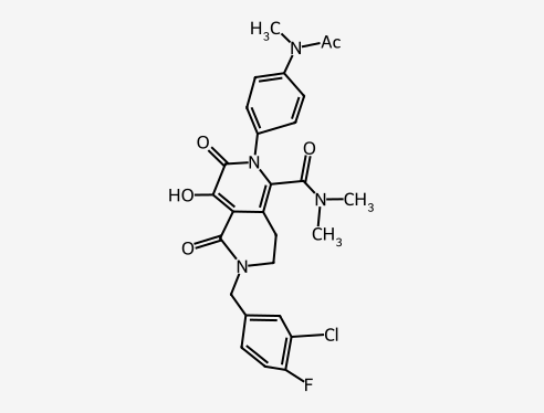 CC(=O)N(C)c1ccc(-n2c(C(=O)N(C)C)c3c(c(O)c2=O)C(=O)N(Cc2ccc(F)c(Cl)c2)CC3)cc1